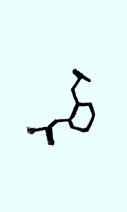 CC(C)CC1CCCCC1CC(=O)O